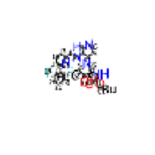 C[C@H]1CN(c2ccncc2NCc2cccc(-c3c(F)cccc3F)n2)C[C@@H](NC(=O)OC(C)(C)C)[C@@H]1O